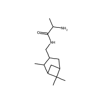 CC(N)C(=O)NCC1CC2CC(C1C)C2(C)C